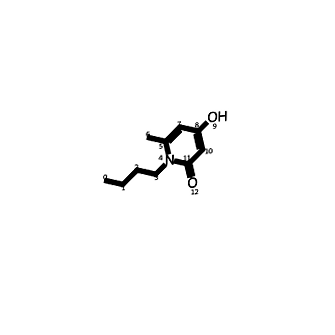 CCCCn1c(C)cc(O)cc1=O